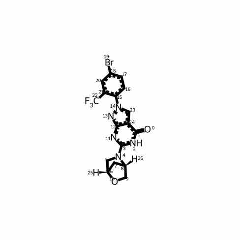 O=c1[nH]c(N2C[C@@H]3C[C@H]2CO3)nc2nn(-c3ccc(Br)cc3C(F)(F)F)cc12